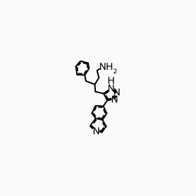 NCCC(Cc1ccccc1)Cc1[nH]nnc1-c1ccc2cnccc2c1